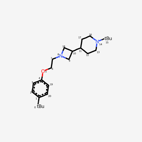 CC(C)(C)c1ccc(OCCN2CC(C3CCN(C(C)(C)C)CC3)C2)cc1